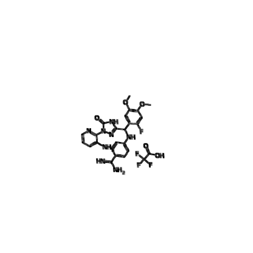 COc1cc(F)c(C(Nc2ccc(C(=N)N)cc2)c2nn(-c3ncccc3N)c(=O)[nH]2)cc1OC.O=C(O)C(F)(F)F